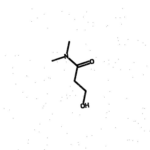 CN(C)C(=O)CCO